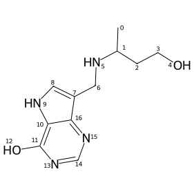 CC(CCO)NCc1c[nH]c2c(O)ncnc12